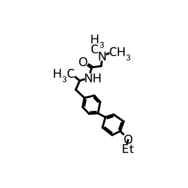 CCOc1ccc(-c2ccc(CC(C)NC(=O)CN(C)C)cc2)cc1